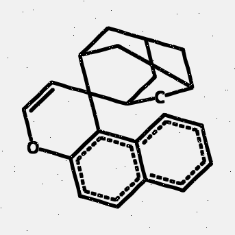 C1=CC2(c3c(ccc4ccccc34)O1)C1CC3CC(C1)CC2C3